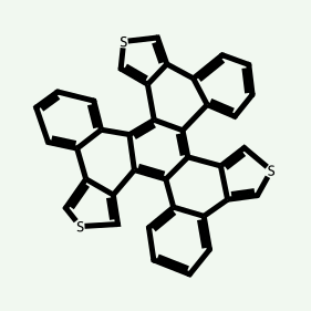 c1ccc2c(c1)c1cscc1c1c2c2c3cscc3c3ccccc3c2c2c3cscc3c3ccccc3c12